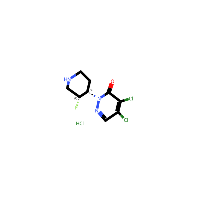 Cl.O=c1c(Cl)c(Cl)cnn1[C@H]1CCNC[C@H]1F